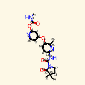 CNC(=O)Oc1cc(Oc2ccc(NC(=O)N3CCC(C)(C)C3=O)nc2C)ccn1